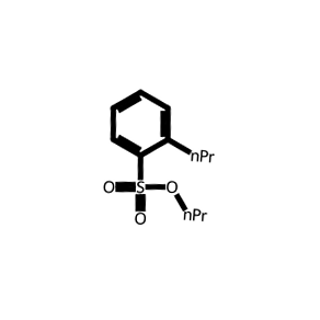 CCCOS(=O)(=O)c1ccccc1CCC